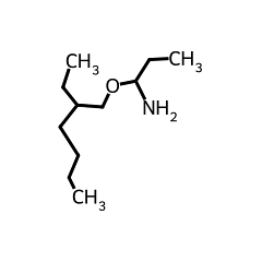 CCCCC(CC)COC(N)CC